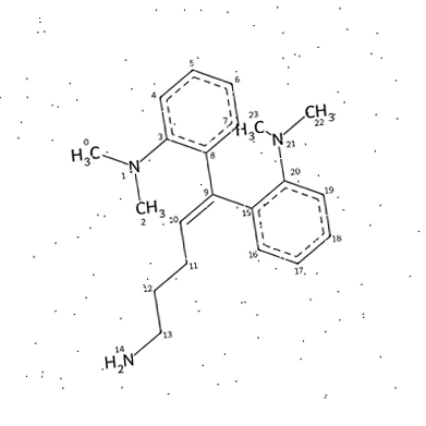 CN(C)c1ccccc1C(=CCCCN)c1ccccc1N(C)C